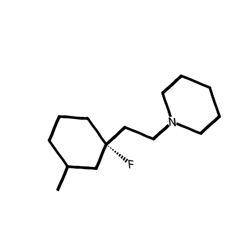 CC1CCC[C@@](F)(CCN2CCCCC2)C1